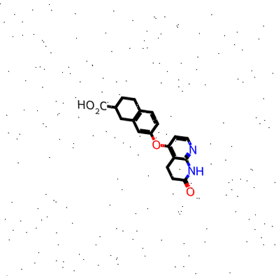 O=C1CCc2c(Oc3ccc4c(c3)CC(C(=O)O)CC4)ccnc2N1